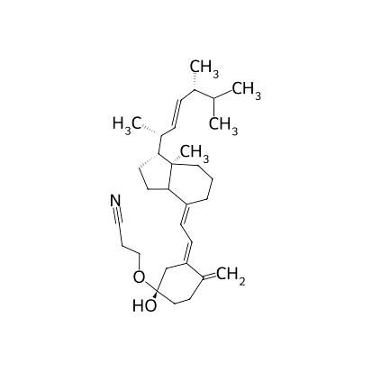 C=C1CC[C@](O)(OCCC#N)CC1=CC=C1CCC[C@@]2(C)C1CC[C@@H]2[C@H](C)/C=C/[C@H](C)C(C)C